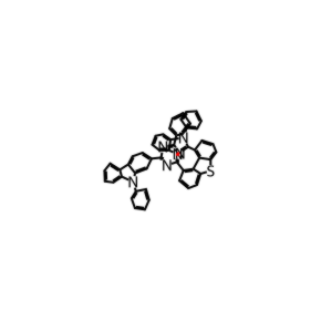 c1ccc(-c2nc(-c3ccc4c5ccccc5n(-c5ccccc5)c4c3)nc(-c3cccc4sc5cccc(-c6nc7ccccc7n6-c6ccccc6)c5c34)n2)cc1